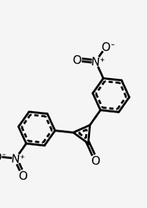 O=c1c(-c2cccc([N+](=O)[O-])c2)c1-c1cccc([N+](=O)[O-])c1